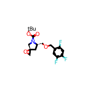 CC(C)(C)OC(=O)N1C[C@]2(CO2)C[C@H]1COCc1cc(F)c(F)cc1F